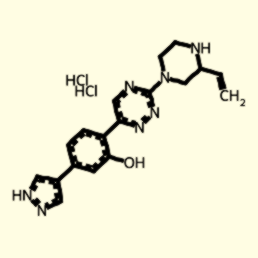 C=CC1CN(c2ncc(-c3ccc(-c4cn[nH]c4)cc3O)nn2)CCN1.Cl.Cl